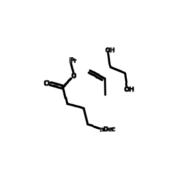 C=CC.CCCCCCCCCCCCCC(=O)OC(C)C.OCCO